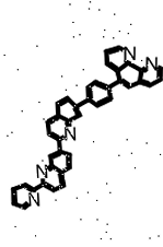 c1ccc(-c2ccc3ccc(-c4ccc5ccc(-c6ccc(-c7cc8cccnc8c8ncccc78)cc6)cc5n4)cc3n2)nc1